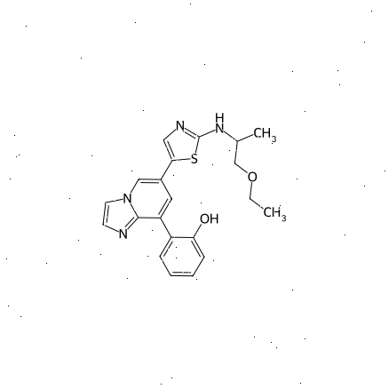 CCOCC(C)Nc1ncc(-c2cc(-c3ccccc3O)c3nccn3c2)s1